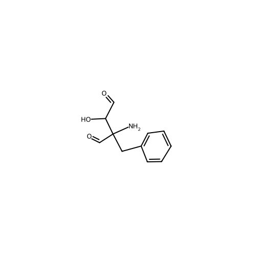 NC(C=O)(Cc1ccccc1)C(O)C=O